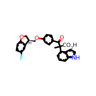 CC(C(=O)O)(C(=O)c1ccc(OC[C@@H]2COc3ccc(F)cc32)cc1)c1cccc2[nH]ccc12